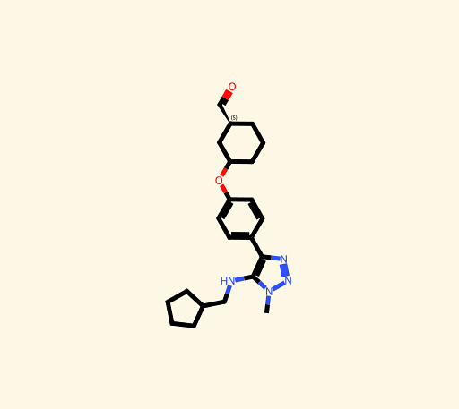 Cn1nnc(-c2ccc(OC3CCC[C@H](C=O)C3)cc2)c1NCC1CCCC1